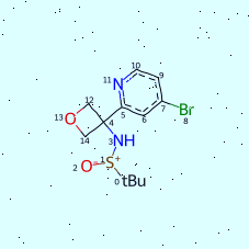 CC(C)(C)[S+]([O-])NC1(c2cc(Br)ccn2)COC1